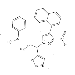 CCC(c1cnc[nH]1)n1cc(-c2cccc3ccccc23)c([N+](=O)[O-])c1.COc1ccccc1